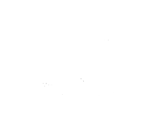 CCOc1c(N2CC3(CC3)CC2C(=O)OC)ccc(F)c1F